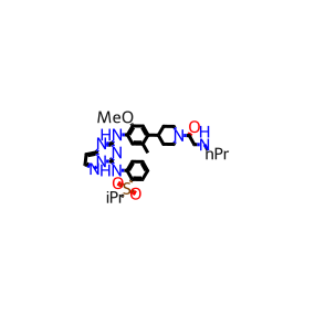 CCCNCC(=O)N1CCC(c2cc(OC)c(Nc3nc(Nc4ccccc4S(=O)(=O)C(C)C)n4nccc4n3)cc2C)CC1